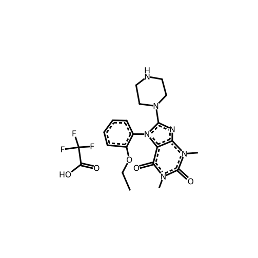 CCOc1ccccc1-n1c(N2CCNCC2)nc2c1c(=O)n(C)c(=O)n2C.O=C(O)C(F)(F)F